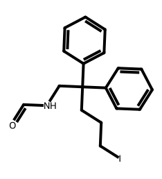 O=CNCC(CCCI)(c1ccccc1)c1ccccc1